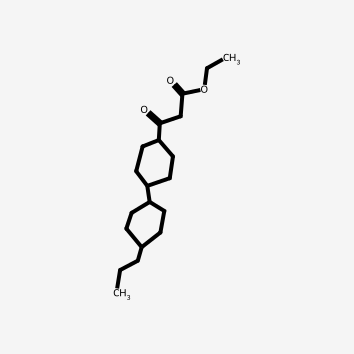 CCCC1CCC(C2CCC(C(=O)CC(=O)OCC)CC2)CC1